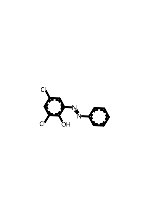 Oc1c(Cl)cc(Cl)cc1/N=N/c1ccccc1